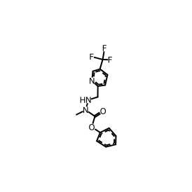 CN(NCc1ccc(C(F)(F)F)cn1)C(=O)Oc1ccccc1